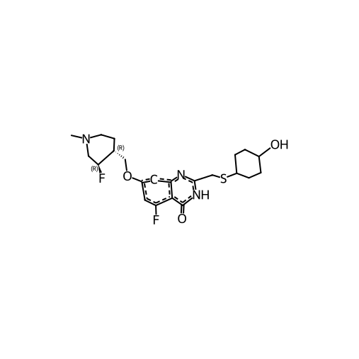 CN1CC[C@H](COc2cc(F)c3c(=O)[nH]c(CSC4CCC(O)CC4)nc3c2)[C@@H](F)C1